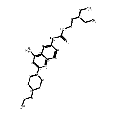 CCN(CC)CCNC(=S)Nc1ccc2nc(N3CCN(CCN)CC3)cc(C)c2c1